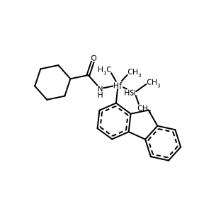 C[SiH](C)[Hf]([CH3])([CH3])([NH]C(=O)C1CCCCC1)[c]1cccc2c1Cc1ccccc1-2